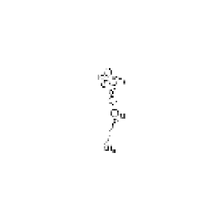 CCCCCCCCOc1ccc(-c2ccc(OCC(CC)C[C@](F)(C(=O)O)C3CCCCC3)cc2)cc1Cl